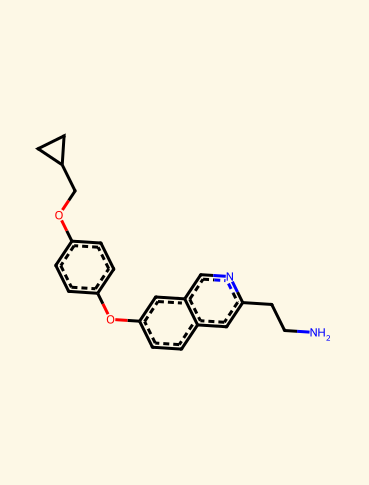 NCCc1cc2ccc(Oc3ccc(OCC4CC4)cc3)cc2cn1